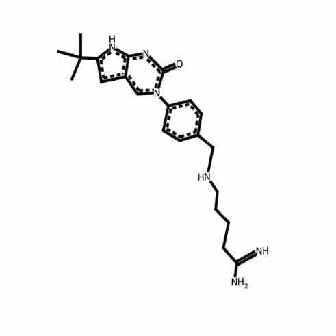 CC(C)(C)c1cc2cn(-c3ccc(CNCCCCC(=N)N)cc3)c(=O)nc2[nH]1